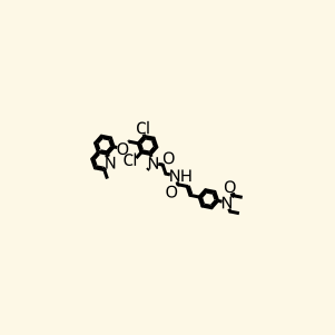 CCN(C(C)=O)c1ccc(/C=C/C(=O)NCC(=O)N(C)c2ccc(Cl)c(COc3cccc4ccc(C)nc34)c2Cl)cc1